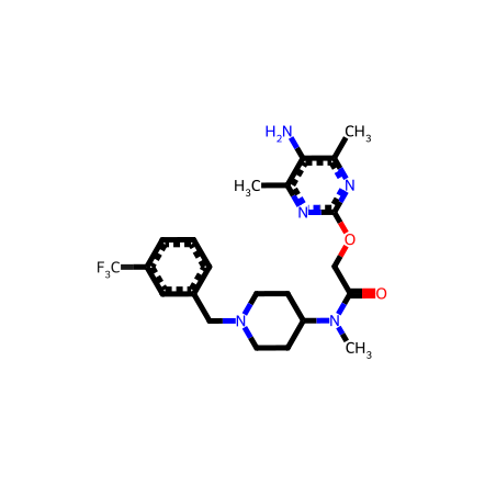 Cc1nc(OCC(=O)N(C)C2CCN(Cc3cccc(C(F)(F)F)c3)CC2)nc(C)c1N